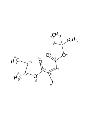 CCC(C)OC(=O)/C=C(/I)C(=O)OC(C)CC